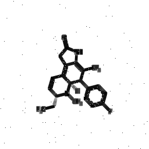 CN1[C@H](CC(F)(F)F)C=CC2=C3CC(=O)NC3=C(C(F)(F)F)C(c3ccc(F)cc3)[C@H]21